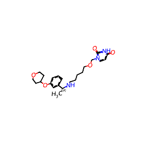 C[C@@H](NCCCCCOCn1ccc(=O)[nH]c1=O)c1cccc(OC2CCOCC2)c1